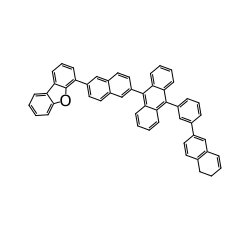 C1=Cc2cc(-c3cccc(-c4c5ccccc5c(-c5ccc6cc(-c7cccc8c7oc7ccccc78)ccc6c5)c5ccccc45)c3)ccc2CC1